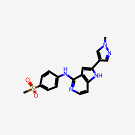 Cn1cc(-c2cc3c(Nc4ccc(S(C)(=O)=O)cc4)nccc3[nH]2)cn1